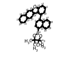 CC1(C)OB(c2ccc(-c3cccc4oc5cc6ccccc6cc5c34)c3ccccc23)OC1(C)C